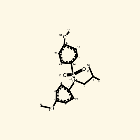 COc1ccc(N(CC(C)C)S(=O)(=O)c2ccc(OC)cc2)cc1